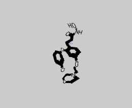 O=C(/C=C/c1ccc(OCCN2CCOCC2)cc1Oc1cccc(Cl)c1)NO